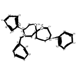 c1ccc(CN2CC3(CC[C@H](c4ccccc4)CO3)OC[C@@H]2c2ccccc2)cc1